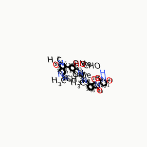 COc1cc(-c2cn(C)c(=O)c3cnc(N(C)C)cc23)cc(OC)c1CN1CC(N(C)Cc2cccc3c2C(=O)N(C2CCC(=O)NC2=O)C3=O)C1.O=CO